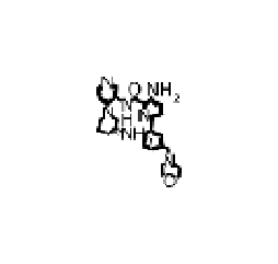 Nc1ccc(-c2cccc(CN3CCOCC3)c2)nc1C(=O)Nc1cnccc1N1CCC[C@H](N)C1